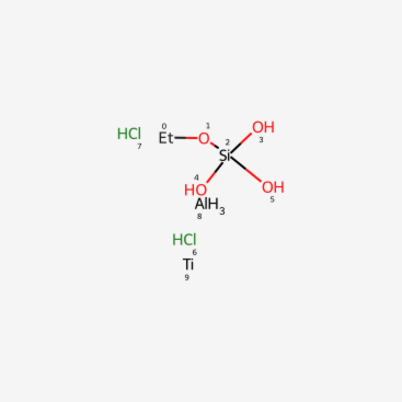 CCO[Si](O)(O)O.Cl.Cl.[AlH3].[Ti]